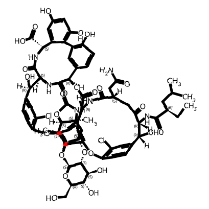 CC[C@H](CC(C)C)C(=O)N[C@H]1C(=O)C[C@@H](CC(N)=O)C(=O)N[C@H]2C(=O)C[C@H]3C(=O)N[C@H](C(=O)N[C@H](C(=O)O)c4cc(O)cc(O)c4-c4cc3ccc4O)[C@H](O)c3ccc(c(Cl)c3)Oc3cc2cc(c3O[C@@H]2O[C@H](CO)[C@@H](O)[C@H](O)[C@H]2O[C@H]2C[C@]3(C)NC(=O)O[C@@H]3[C@H](C)O2)Oc2ccc(cc2Cl)[C@H]1O